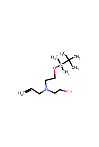 C=CCN(CCO)CCO[Si](C)(C)C(C)(C)C